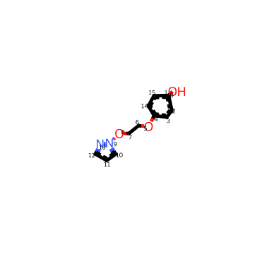 Oc1ccc(OCCOn2cccn2)cc1